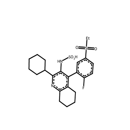 CCS(=O)(=O)c1ccc(F)c(-c2c3c(nc(C4CCCCC4)c2NS(=O)(=O)O)CCCC3)c1